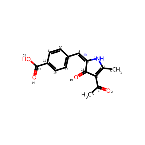 CC(=O)C1=C(C)N/C(=C/c2ccc(C(=O)O)cc2)C1=O